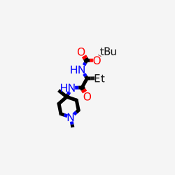 CCC(NC(=O)OC(C)(C)C)C(=O)NC1(C)CCN(C)CC1